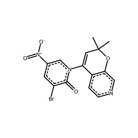 CC1(C)C=C(n2cc([N+](=O)[O-])cc(Br)c2=O)c2ccncc2O1